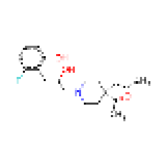 CCCC1(C(C)=O)CCN(CC(O)Cc2c(O)cccc2F)CC1